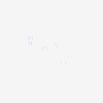 CC(C)c1cnc(NC(=O)c2cn[nH]c2)s1